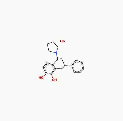 Br.Oc1ccc2c(c1O)CC(c1ccccc1)CC2N1CCCC1